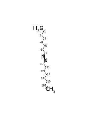 CCCCCCCCN=NCCCCCCCC